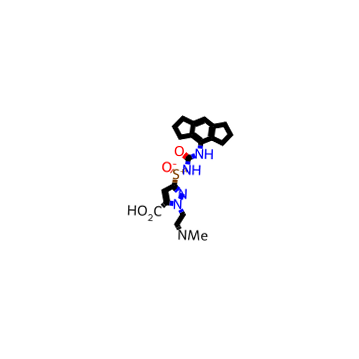 CNCCn1nc([S+]([O-])NC(=O)Nc2c3c(cc4c2CCC4)CCC3)cc1C(=O)O